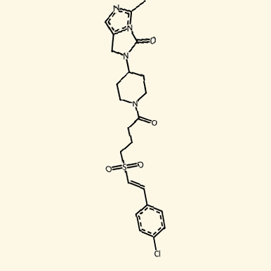 Cc1ncc2n1C(=O)N(C1CCN(C(=O)CCCS(=O)(=O)C=Cc3ccc(Cl)cc3)CC1)C2